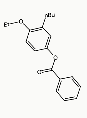 CCCCc1cc(OC(=O)c2ccccc2)ccc1OCC